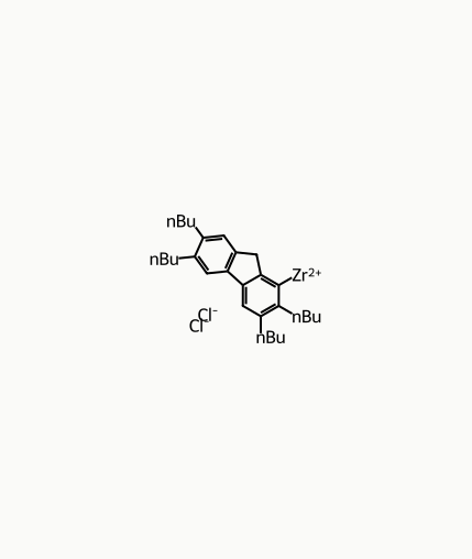 CCCCc1cc2c(cc1CCCC)-c1cc(CCCC)c(CCCC)[c]([Zr+2])c1C2.[Cl-].[Cl-]